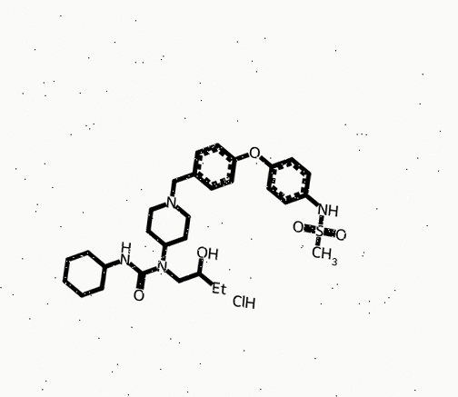 CCC(O)CN(C(=O)NC1CCCCC1)C1CCN(Cc2ccc(Oc3ccc(NS(C)(=O)=O)cc3)cc2)CC1.Cl